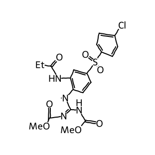 CCC(=O)Nc1cc(S(=O)(=O)c2ccc(Cl)cc2)ccc1[N]C(=NC(=O)OC)NC(=O)OC